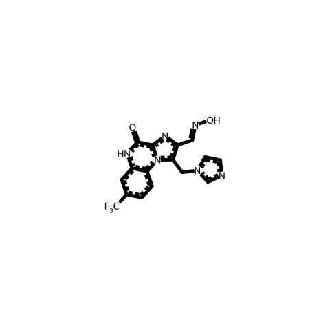 O=c1[nH]c2cc(C(F)(F)F)ccc2n2c(Cn3ccnc3)c(C=NO)nc12